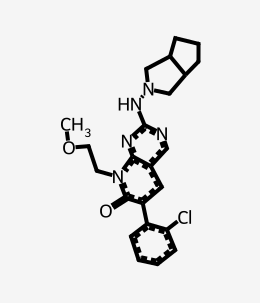 COCCn1c(=O)c(-c2ccccc2Cl)cc2cnc(NN3CC4CCCC4C3)nc21